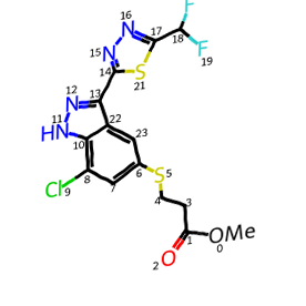 COC(=O)CCSc1cc(Cl)c2[nH]nc(-c3nnc(C(F)F)s3)c2c1